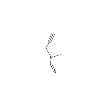 C#CCN(I)C=O